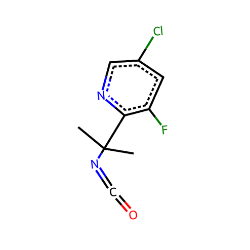 CC(C)(N=C=O)c1ncc(Cl)cc1F